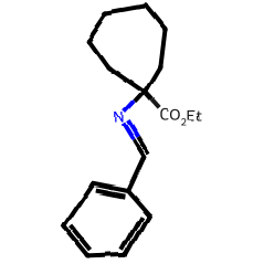 CCOC(=O)C1(N=Cc2ccccc2)CCCCCC1